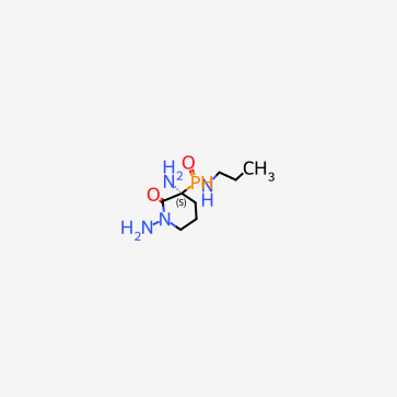 CCCN[PH](=O)[C@@]1(N)CCCN(N)C1=O